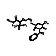 COC(=O)C(OC/C=C\Cn1cc(C)c(=O)n(C(=O)c2ccccc2)c1=O)P(C)(C)=O